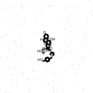 C[C@]12C=CC(=O)C=C1[C@@H](F)C[C@H]1[C@@H]3C[C@H]4O[C@@H](c5ccn(Cc6ccc(CO)cc6)c5)O[C@@]4(C(=O)COP(=O)(O)O)[C@@]3(C)C[C@H](O)[C@@]12F